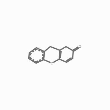 O=C1C=CC2=C(C1)Cc1ccccc1O2